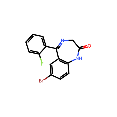 O=C1CN=C(c2ccccc2F)c2cc(Br)ccc2N1